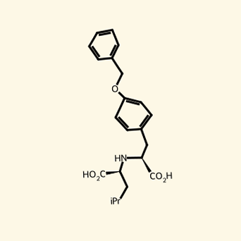 CC(C)C[C@H](N[C@@H](Cc1ccc(OCc2ccccc2)cc1)C(=O)O)C(=O)O